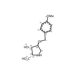 COc1ccc(CO[C@H]2CN[C@H](C(=O)O)[C@@H]2O)cc1